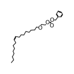 CCCCCCCC/C=C\CCCCCCCCOCCOC(=O)OCc1ccccc1